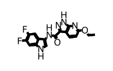 CCOc1ccc2c(C(=O)Nc3c[nH]c4cc(F)c(F)cc34)n[nH]c2n1